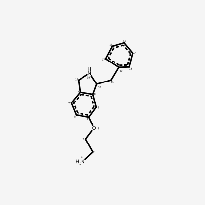 NCCOc1ccc2c(c1)C(Cc1ccccc1)NC2